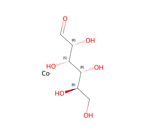 O=C[C@H](O)[C@@H](O)[C@H](O)[C@H](O)CO.[Co]